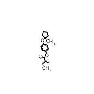 CCC(I)C(=O)Oc1ccc(OC2(C)CCCC2)cc1